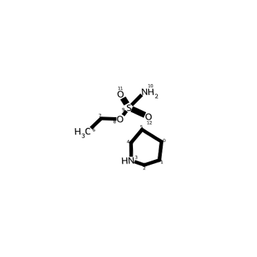 C1CCNCC1.CCOS(N)(=O)=O